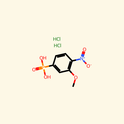 COc1cc(P(=O)(O)O)ccc1[N+](=O)[O-].Cl.Cl